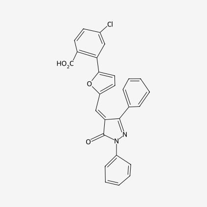 O=C(O)c1ccc(Cl)cc1-c1ccc(/C=C2/C(=O)N(c3ccccc3)N=C2c2ccccc2)o1